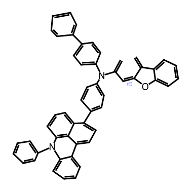 C=C(/C=c1/oc2ccccc2c1=C)N(c1ccc(-c2ccccc2)cc1)c1ccc(-c2ccc3c4c(cccc24)N(c2ccccc2)c2ccccc2-3)cc1